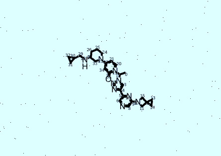 CC(n1cc(-c2cncc(N3CC4(CC4)C3)n2)nn1)n1ccc(N2CCC[C@@H](NCC3CC3)C2)cc1=O